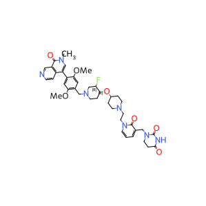 COc1cc(-c2cn(C)c(=O)c3cnccc23)c(OC)cc1CN1CC[C@@H](OC2CCN(CCn3cccc(CN4CCC(=O)NC4=O)c3=O)CC2)[C@H](F)C1